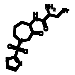 CC(C)C[C@H](N)C(=O)NC1CCCN(S(=O)(=O)c2nccs2)CC1=O